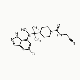 CC(C)(C1CCN(C(=O)NCC#N)CC1)[C@H](O)c1cc(Cl)cc2cn[nH]c12